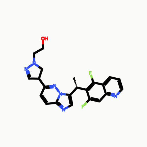 C[C@H](c1c(F)cc2ncccc2c1F)c1cnc2ccc(C3C=NN(CCO)C3)nn12